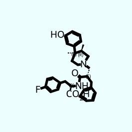 C[C@H]1CN(C[C@H](Cc2ccccc2)C(=O)N[C@H](Cc2ccc(F)cc2)C(=O)O)CC[C@@]1(C)c1cccc(O)c1